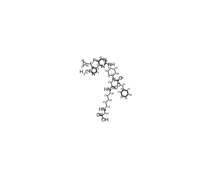 Cn1ncc(-c2nc(N[C@H]3CC[C@H](N(CC(=O)NCCCCCNCC(=O)O)C(=O)OCc4ccccc4)CC3)ncc2F)c1CC1CC1